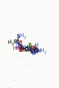 C[C@@H](CCCN)NC(=O)CC[C@@H](NC(=O)c1ccc(N(Cc2cnc3nc(N)[nH]c(=O)c3n2)C(=O)C(F)(F)F)cc1)C(=O)O